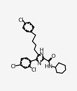 O=C(NC1CCCCC1)c1nc(-c2ccc(Cl)cc2Cl)c(CCCCc2ccc(Cl)cc2)[nH]1